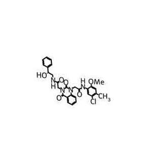 COc1cc(C)c(Cl)cc1NC(=O)Cn1c(=O)n(CC(=O)NC[C@H](O)c2ccccc2)c(=O)c2ccccc21